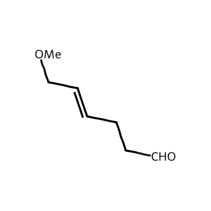 COC/C=C/CCC=O